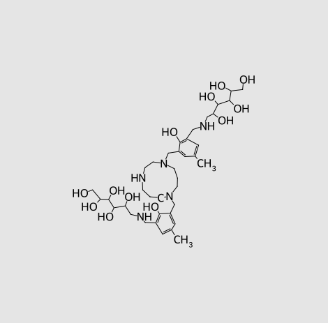 Cc1cc(CNCC(O)C(O)C(O)C(O)CO)c(O)c(CN2CCCNCCN(Cc3cc(C)cc(CNCC(O)C(O)C(O)C(O)CO)c3O)CCC2)c1